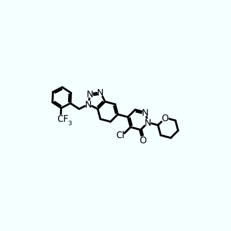 O=c1c(Cl)c(C2=Cc3nnn(Cc4ccccc4C(F)(F)F)c3CC2)cnn1C1CCCCO1